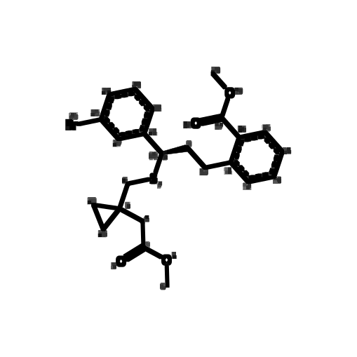 COC(=O)CC1(CS[C@H](CCc2ccccc2C(=O)OC)c2cccc(Br)c2)CC1